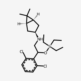 CC[Si](CC)(CC)OC(CN[C@H]1C[C@@H]2[C@H](C1)C2(C)C)c1c(Cl)cccc1Cl